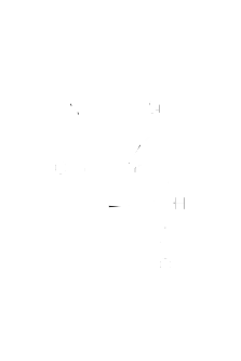 CC1(C)C(=O)CC[C@]2(C)C3=CC(=O)C(C#N)=C[C@]3(C#C[Si](C)(C)C)CC[C@@H]12